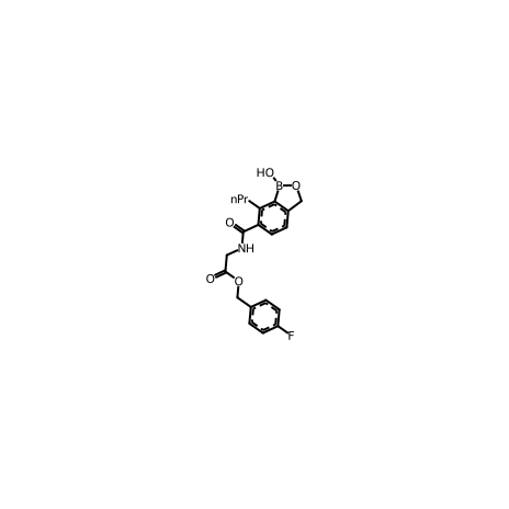 CCCc1c(C(=O)NCC(=O)OCc2ccc(F)cc2)ccc2c1B(O)OC2